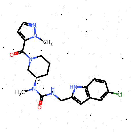 CN(C(=O)NCc1cc2cc(Cl)ccc2[nH]1)[C@@H]1CCCN(C(=O)c2ccnn2C)C1